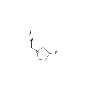 CC#CCN1CCC(F)C1